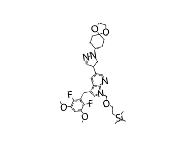 COc1cc(OC)c(F)c(Cc2cn(COCC[Si](C)(C)C)c3ncc(C4C=NN(C5CCC6(CC5)OCCO6)C4)cc23)c1F